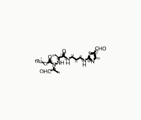 C[C@H](NN(C(=O)OC(C)(C)C)[C@@H](C)C=O)C(=O)NCCCNc1ncc(C=O)s1